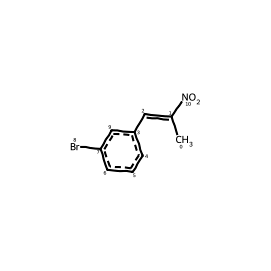 CC(=Cc1cccc(Br)c1)[N+](=O)[O-]